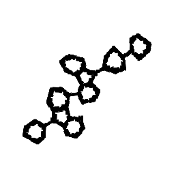 c1ccc(-c2ccc(-n3c4ccccc4c4c(-c5cccc6c5c5ncccc5n6-c5ccccc5)cccc43)cc2)cc1